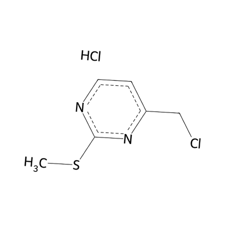 CSc1nccc(CCl)n1.Cl